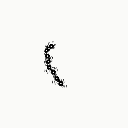 CC(C)(c1ccc(O)cc1)c1ccc(OOc2ccc(C(C)(C)c3ccc(Oc4c(F)c(F)c(C(=O)c5ccc(Oc6ccc(C(=O)c7c(F)c(F)c(F)c(F)c7F)cc6)cc5)c(F)c4F)cc3)cc2)cc1